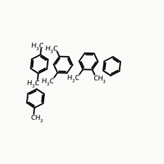 Cc1ccc(C)cc1.Cc1cccc(C)c1.Cc1ccccc1.Cc1ccccc1C.c1ccccc1